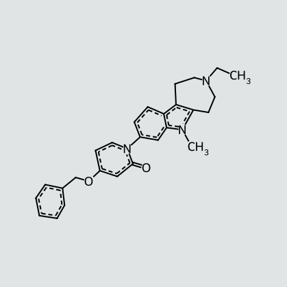 CCN1CCc2c(n(C)c3cc(-n4ccc(OCc5ccccc5)cc4=O)ccc23)CC1